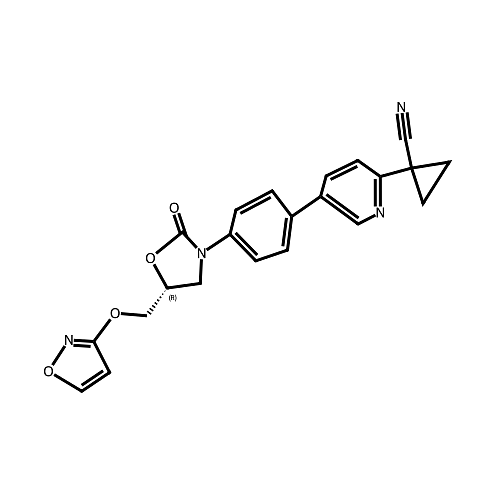 N#CC1(c2ccc(-c3ccc(N4C[C@H](COc5ccon5)OC4=O)cc3)cn2)CC1